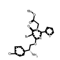 CC(C)(C)OC(=O)Cn1c(-c2cccs2)nc(OC[C@H](N)c2ccc(Cl)cc2)c(Br)c1=O